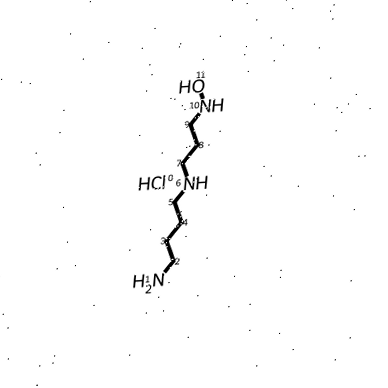 Cl.NCCCCNCCCNO